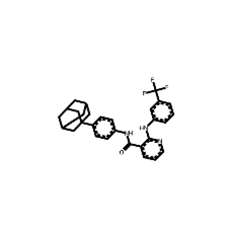 O=C(Nc1ccc(C23CC4CC(CC(C4)C2)C3)cc1)c1cccnc1Nc1cccc(C(F)(F)F)c1